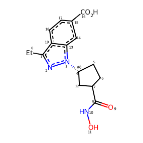 CCc1nn([C@@H]2CCC(C(=O)NO)C2)c2cc(C(=O)O)ccc12